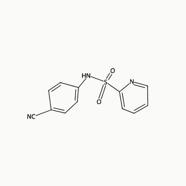 N#Cc1ccc(NS(=O)(=O)c2ccccn2)cc1